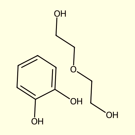 OCCOCCO.Oc1ccccc1O